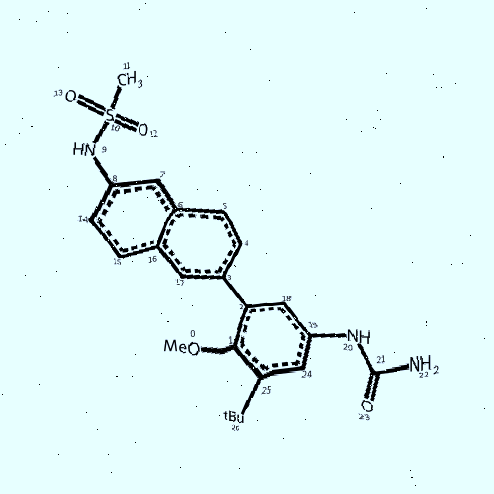 COc1c(-c2ccc3cc(NS(C)(=O)=O)ccc3c2)cc(NC(N)=O)cc1C(C)(C)C